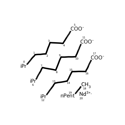 CC(C)CCCCC(=O)[O-].CC(C)CCCCC(=O)[O-].CC(C)CCCCC(=O)[O-].CCCCCC.[Nd+3]